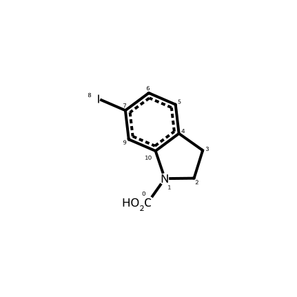 O=C(O)N1CCc2ccc(I)cc21